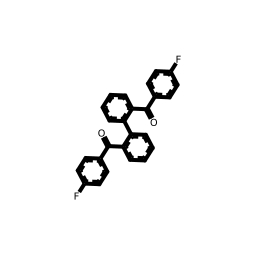 O=C(c1ccc(F)cc1)c1ccccc1-c1ccccc1C(=O)c1ccc(F)cc1